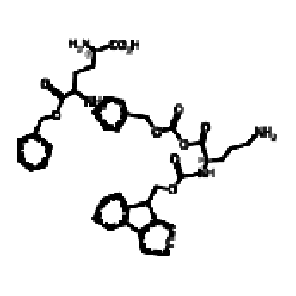 NC(CC[C@@H](N)C(=O)O)C(=O)OCc1ccccc1.NCCC[C@@H](NC(=O)OCC1c2ccccc2-c2ccccc21)C(=O)OC(=O)OCc1ccccc1